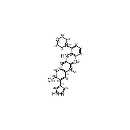 Cn1c(=O)c(Nc2ccccc2N2CCOCC2)nc2cc(Cl)c(-c3cn[nH]c3)cc21